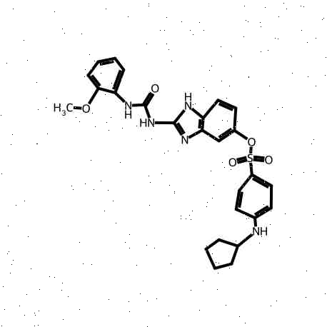 COc1ccccc1NC(=O)Nc1nc2cc(OS(=O)(=O)c3ccc(NC4CCCC4)cc3)ccc2[nH]1